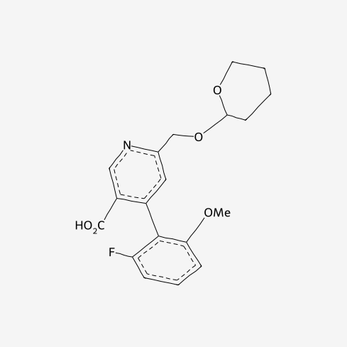 COc1cccc(F)c1-c1cc(COC2CCCCO2)ncc1C(=O)O